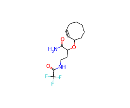 NC(=O)C(CCNC(=O)C(F)(F)F)OC1C#CCCCCC1